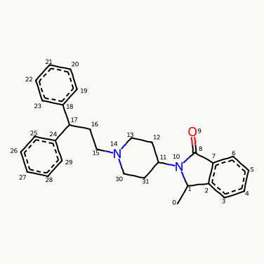 CC1c2ccccc2C(=O)N1C1CCN(CCC(c2ccccc2)c2ccccc2)CC1